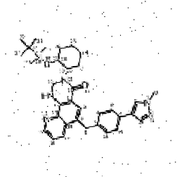 Cn1cc(-c2ccc(Cc3cc4c(c5ncccc35)NCN([C@H]3CCCC[C@@H]3O[Si](C)(C)C(C)(C)C)C4=O)cc2)cn1